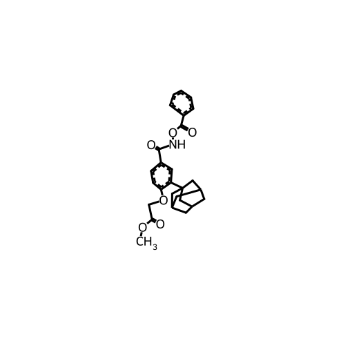 COC(=O)COc1ccc(C(=O)NOC(=O)c2ccccc2)cc1C12CC3CC(CC(C3)C1)C2